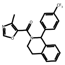 Cc1ncoc1C(=O)N1CCc2ccccc2C1c1ccc(C(F)(F)F)cc1